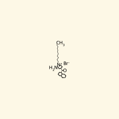 CCCCCCCCCCCC[n+]1ccc(C(=O)c2cccc3ccccc23)cc1N.[Br-]